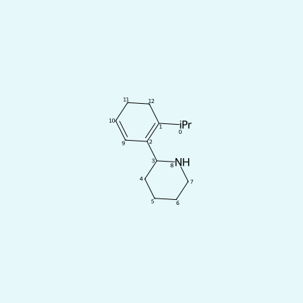 CC(C)C1=C(C2CCCCN2)C=CCC1